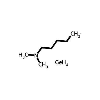 [CH2]CCCCN(C)C.[GeH4]